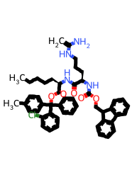 C=C(N)NCCC[C@@H](NC(=O)OCC1c2ccccc2-c2ccccc21)C(=O)N[C@H](CCCCC)C(=O)OC(c1ccccc1)(c1ccc(C)cc1)c1ccccc1Cl